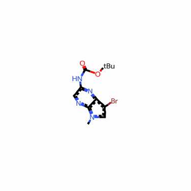 Cn1cc(Br)c2nc(NC(=O)OC(C)(C)C)cnc21